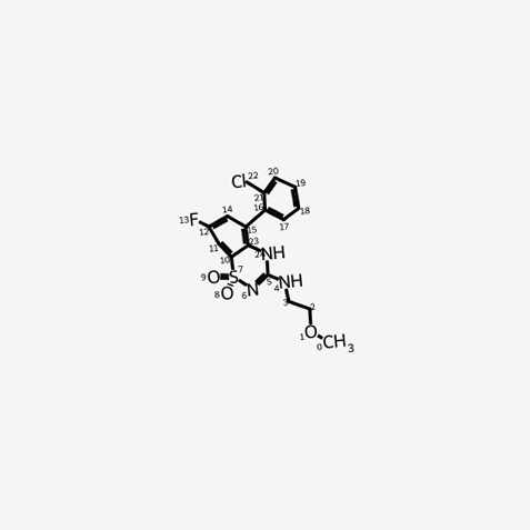 COCCNC1=NS(=O)(=O)c2cc(F)cc(-c3ccccc3Cl)c2N1